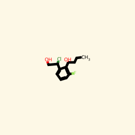 CCCC(O)c1c(F)cccc1C(Cl)CO